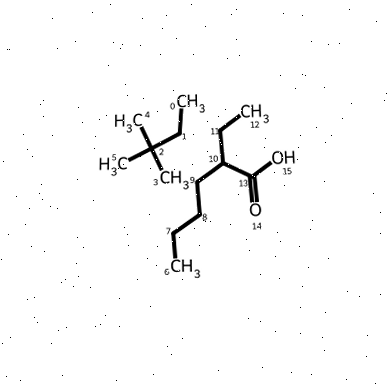 CCC(C)(C)C.CCCCC(CC)C(=O)O